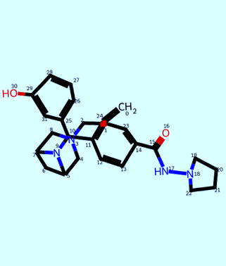 C=CCN1CC2CC(C1)N2C(c1ccc(C(=O)NN2CCCC2)cc1)c1cccc(O)c1